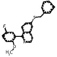 COc1ccc(F)cc1-c1nccc2cc(SCc3ccccc3)ccc12